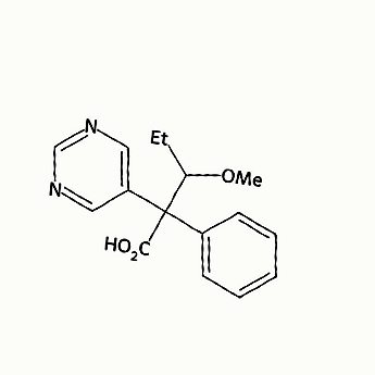 CCC(OC)C(C(=O)O)(c1ccccc1)c1cncnc1